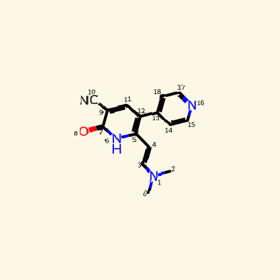 CN(C)C=Cc1[nH]c(=O)c(C#N)cc1-c1ccncc1